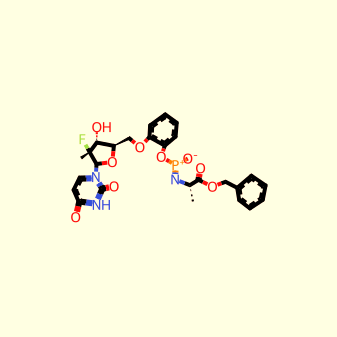 C[C@H](/N=[P+](\[O-])Oc1ccccc1OC[C@H]1OC(n2ccc(=O)[nH]c2=O)[C@](C)(F)[C@@H]1O)C(=O)OCc1ccccc1